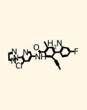 CC#Cc1cc(C(=O)Nc2cnc(-n3nccn3)c(Cl)c2)c(C)cc1-c1ccc(F)cc1N